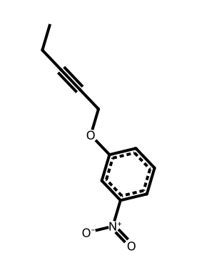 CCC#CCOc1cccc([N+](=O)[O-])c1